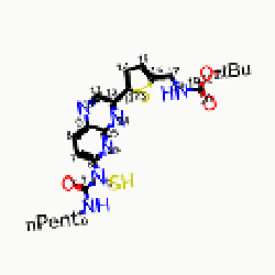 CCCCCNC(=O)N(S)c1ccc2ncc(-c3ccc(CNC(=O)OC(C)(C)C)s3)nc2n1